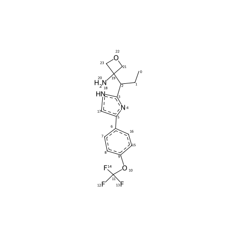 CCC(c1nc(-c2ccc(OC(F)(F)F)cc2)c[nH]1)C1(N)COC1